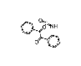 N=C=O.O=C(C(=O)c1ccccc1)c1ccccc1